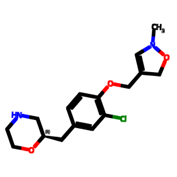 CN1C=C(COc2ccc(C[C@@H]3CNCCO3)cc2Cl)CO1